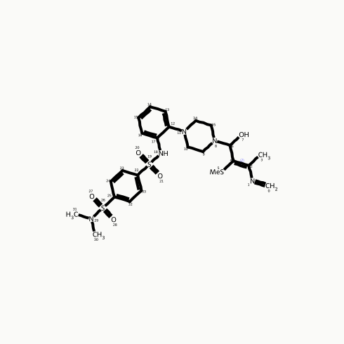 C=N/C(C)=C(\SC)C(O)N1CCN(c2ccccc2NS(=O)(=O)c2ccc(S(=O)(=O)N(C)C)cc2)CC1